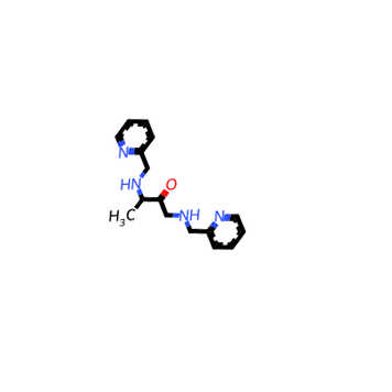 CC(NCc1ccccn1)C(=O)CNCc1ccccn1